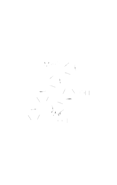 COc1ccccc1-c1ccc2c(c1)C(c1ccc(O)cc1)(c1ccc(O)cc1)c1cc(-c3ccccc3OC)ccc1-2